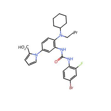 CC(C)CN(c1ccc(-n2cccc2C(=O)O)cc1NC(=O)Nc1ccc(Br)cc1F)C1CCCCC1